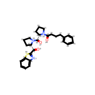 O=C(c1nc2ccccc2s1)[C@@H]1CCCN1C(=O)[C@@H]1CCCN1C(=O)CCCc1ccccc1